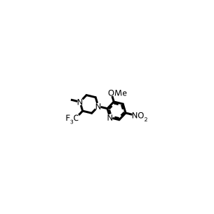 COc1cc([N+](=O)[O-])cnc1N1CCN(C)C(C(F)(F)F)C1